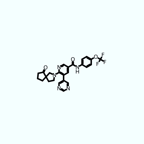 O=C(Nc1ccc(OC(F)(F)F)cc1)c1cnc(N2CCC3(CCCC3=O)C2)c(-c2cncnc2)c1